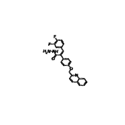 NNC(=O)C(=Cc1ccc(F)c(F)c1)c1ccc(OCc2ccc3ccccc3n2)cc1